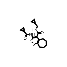 O=C(NCC1CC1)C1=C(NC(=O)C2CC2)SSC2=C1CCCCC2